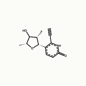 C#Cc1[nH]c(=O)ccc1[C@@H]1O[C@H](C)C(O)[C@@H]1F